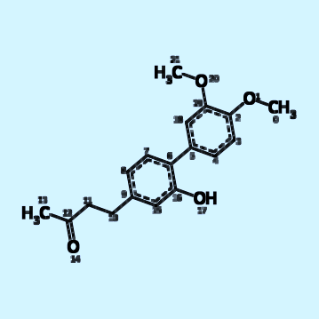 COc1ccc(-c2ccc(CCC(C)=O)cc2O)cc1OC